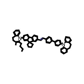 CCCCC1=C(C)CCc2ccccc2N1c1ccc2c(c1)C1(CCCC1)c1cc(/C=C/c3ccc(-c4ccc(N5c6ccccc6CCc6ccccc65)cc4)cc3)ccc1-2